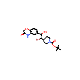 CC(C)(C)OC(=O)N1CCC(C(Br)C(O)c2ccc3c(c2)NC(=O)CO3)CC1